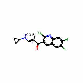 CCOC(=O)/C(=C\NC1CC1)C(=O)c1cc2cc(F)c(F)cc2nc1Cl